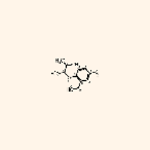 CC(C)C(C)Oc1ccc(Cl)cc1CO